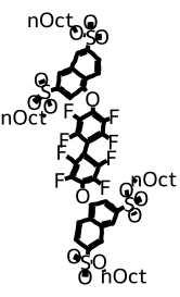 CCCCCCCCOS(=O)(=O)c1ccc2c(Oc3c(F)c(F)c(-c4c(F)c(F)c(Oc5cc(S(=O)(=O)OCCCCCCCC)cc6cc(S(=O)(=O)OCCCCCCCC)ccc56)c(F)c4F)c(F)c3F)cc(S(=O)(=O)OCCCCCCCC)cc2c1